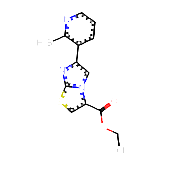 Bc1ncccc1-c1cn2c(C(=O)OCC)csc2n1